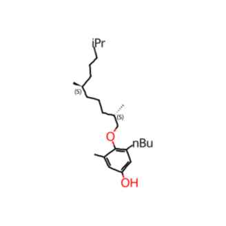 CCCCc1cc(O)cc(C)c1OC[C@@H](C)CCC[C@@H](C)CCCC(C)C